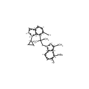 Cc1nn(CC(C)(C)c2c(F)ccc3cnn(C4CC4)c23)c2ccc(F)c(C(C)(C)C)c12